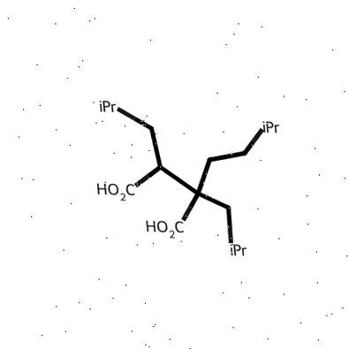 CC(C)CCC(CC(C)C)(C(=O)O)C(CC(C)C)C(=O)O